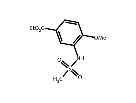 CCOC(=O)c1ccc(OC)c(NS(C)(=O)=O)c1